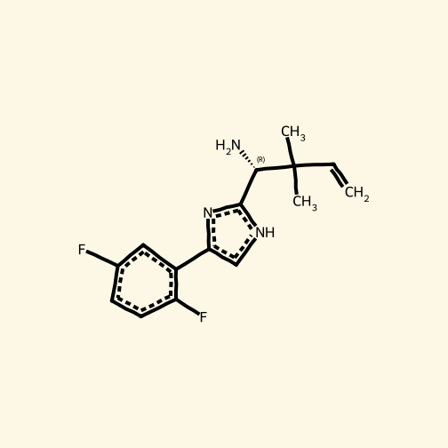 C=CC(C)(C)[C@@H](N)c1nc(-c2cc(F)ccc2F)c[nH]1